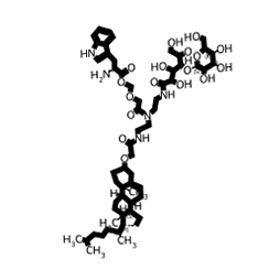 CC(C)CCC[C@@H](C)[C@H]1CC[C@H]2[C@@H]3CC=C4CC(OCC(=O)NCCN(CCNC(=O)C(O)C(O)C(O[C@@H]5OC(CO)[C@H](O)[C@H](O)C5O)C(O)CO)C(=O)COCOC(=O)[C@H](N)Cc5c[nH]c6ccccc56)CC[C@]4(C)[C@H]3CC[C@]12C